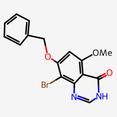 COc1cc(OCc2ccccc2)c(Br)c2nc[nH]c(=O)c12